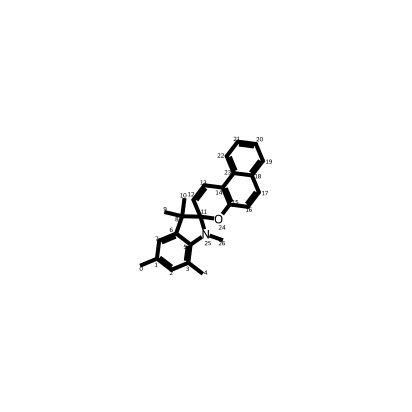 Cc1cc(C)c2c(c1)C(C)(C)C1(C=Cc3c(ccc4ccccc34)O1)N2C